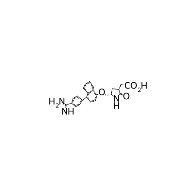 N=C(N)c1ccc(-c2ccc(OC[C@@H]3C[C@@H](CC(=O)O)C(=O)N3)c3ccccc23)cc1